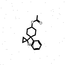 CC(=O)OC1CCC(c2ccccc2)(C2(N)CC2)CC1